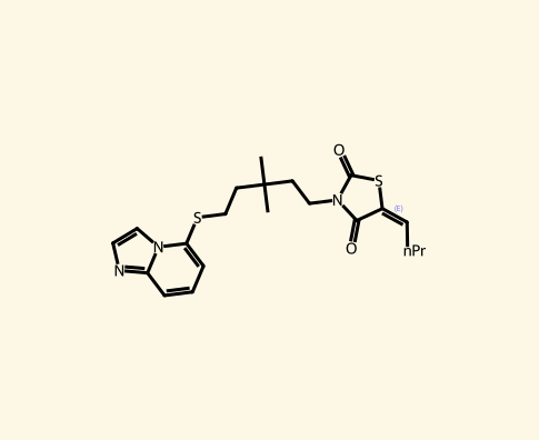 CCC/C=C1/SC(=O)N(CCC(C)(C)CCSc2cccc3nccn23)C1=O